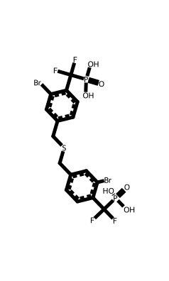 O=P(O)(O)C(F)(F)c1ccc(CSCc2ccc(C(F)(F)P(=O)(O)O)c(Br)c2)cc1Br